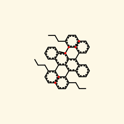 CCCc1ccccc1-c1c2ccccc2c(-c2ccccc2CCC)c2c(-c3ccccc3CCC)c3ccccc3c(-c3ccccc3CCC)c12